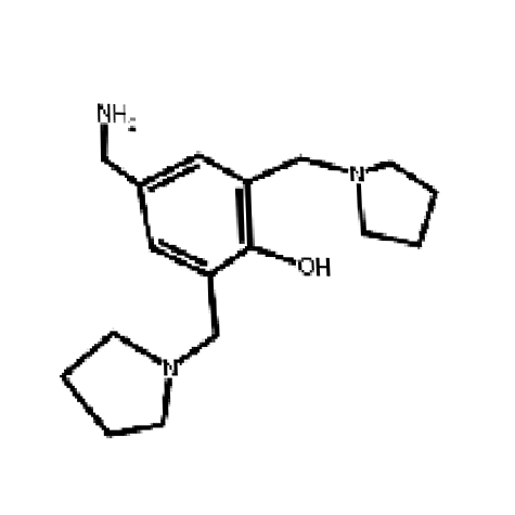 NCc1cc(CN2CCCC2)c(O)c(CN2CCCC2)c1